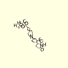 COC(OC)C1CC2(CCN(c3ccc(C4CCC(=O)NC4=O)c(F)c3)CC2)C1